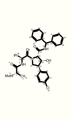 CN[C@@H](C)C(=O)N[C@H](C(=O)N1C[C@H](c2ccc(Cl)cc2)[C@@H](O)[C@H]1C(=O)NC(c1ccccc1)c1ccccc1)C(C)C